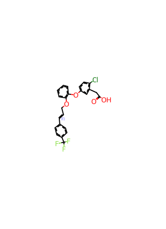 O=C(O)Cc1cc(Oc2ccccc2OC/C=C/c2ccc(C(F)(F)F)cc2)ccc1Cl